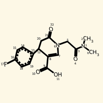 CN(C)C(=O)CN1C=C(C(=O)O)C(c2ccc(F)cc2)CC1=O